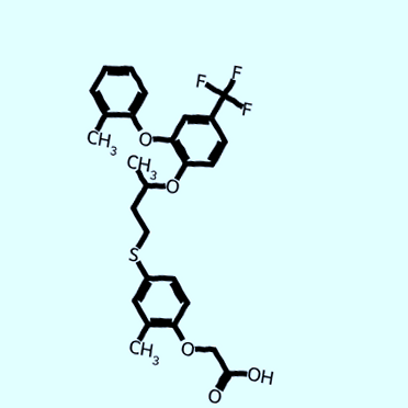 Cc1cc(SCCC(C)Oc2ccc(C(F)(F)F)cc2Oc2ccccc2C)ccc1OCC(=O)O